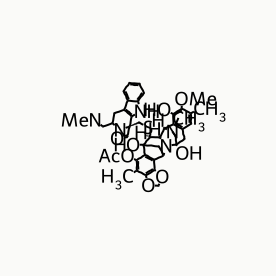 CNCC1Cc2c([nH]c3ccccc23)[C@@]2(CS[C@H]3[C@H]4[C@@H]5c6c(cc(C)c(OC)c6O)CC(O)(CN5C)N4C4CC3(OC2=O)c2c(OC(C)=O)c(C)c3c(c24)OCO3)N1